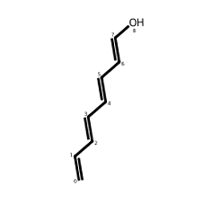 C=CC=CC=CC=CO